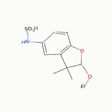 CCOC1Oc2ccc(NS(=O)(=O)O)cc2C1(C)C